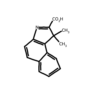 CC1(C)C(C(=O)O)=Nc2ccc3ccccc3c21